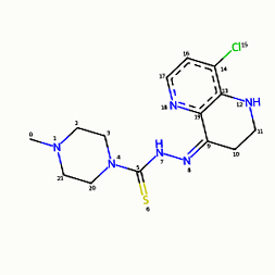 CN1CCN(C(=S)N/N=C2/CCNc3c(Cl)ccnc32)CC1